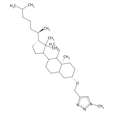 CCC1C(C2CC[C@H]([C@H](C)CCCC(C)C)C2(C)C)CCC2C[C@@H](OCc3cn(C)nn3)CC[C@@]21C